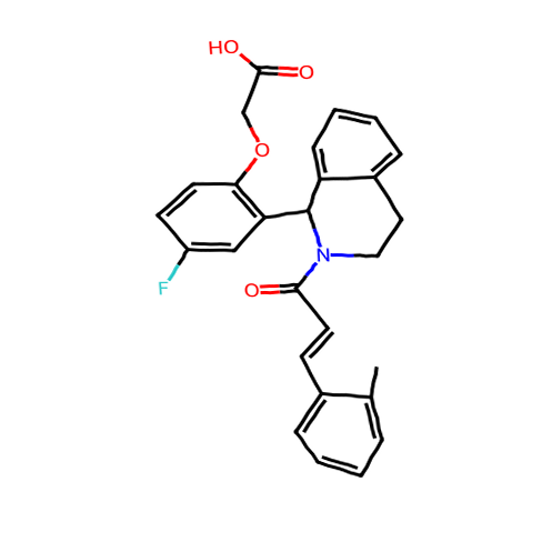 Cc1ccccc1C=CC(=O)N1CCc2ccccc2C1c1cc(F)ccc1OCC(=O)O